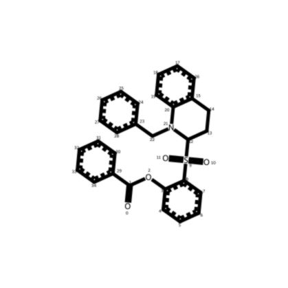 O=C(Oc1ccccc1S(=O)(=O)C1CCc2ccccc2N1Cc1ccccc1)c1ccccc1